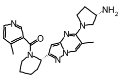 Cc1ccncc1C(=O)N1CCCC[C@H]1c1cc2nc(N3CC[C@H](N)C3)c(C)cn2n1